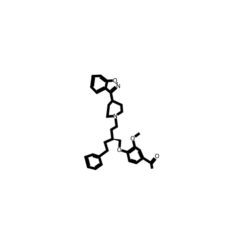 COc1cc(C(C)=O)ccc1OC[C@@H](CCc1ccccc1)CCN1CCC(c2noc3ccccc23)CC1